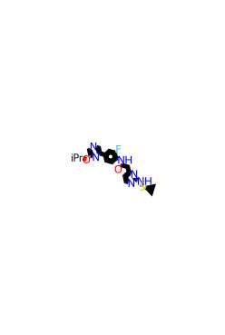 CC(C)Oc1cncc(-c2ccc(NC(=O)Cc3ccnc(NSC4CC4)n3)c(F)c2)n1